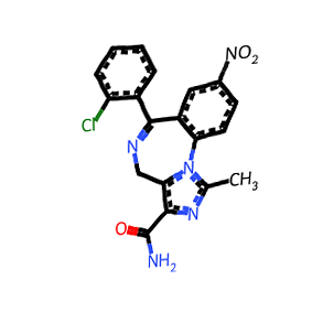 Cc1nc(C(N)=O)c2n1-c1ccc([N+](=O)[O-])cc1C(c1ccccc1Cl)=NC2